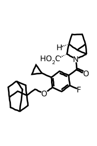 O=C(O)[C@@H]1[C@H]2CCC3C2C3N1C(=O)c1cc(C2CC2)c(OCC23CC4CC(CC(C4)C2)C3)cc1F